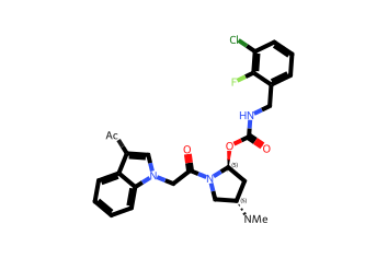 CN[C@H]1C[C@H](OC(=O)NCc2cccc(Cl)c2F)N(C(=O)Cn2cc(C(C)=O)c3ccccc32)C1